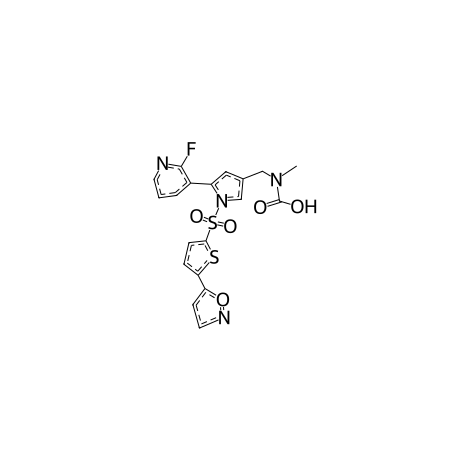 CN(Cc1cc(-c2cccnc2F)n(S(=O)(=O)c2ccc(-c3ccno3)s2)c1)C(=O)O